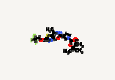 CC(NC(=O)[C@@H]1CCN(C(=O)OC(C)(C)C)C1)c1cnc(OCC(F)(F)F)s1